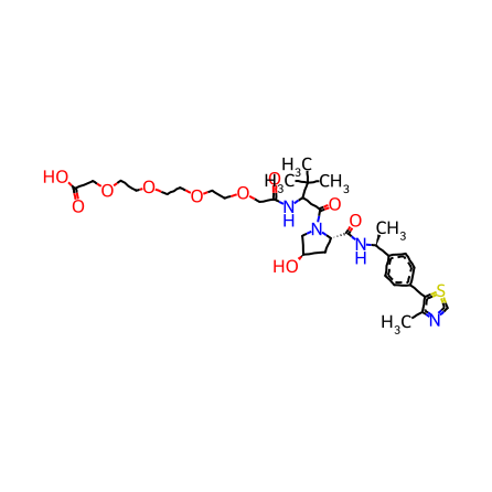 Cc1ncsc1-c1ccc([C@H](C)NC(=O)[C@@H]2C[C@@H](O)CN2C(=O)C(NC(=O)COCCOCCOCCOCC(=O)O)C(C)(C)C)cc1